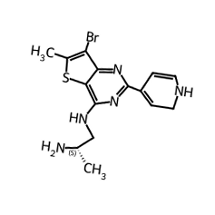 Cc1sc2c(NC[C@H](C)N)nc(C3=CCNC=C3)nc2c1Br